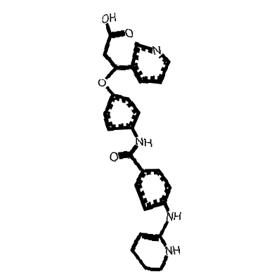 O=C(O)CC(Oc1ccc(NC(=O)c2ccc(NC3=CCCCN3)cc2)cc1)c1cccnc1